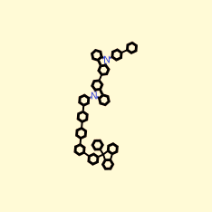 c1ccc(-c2ccc(-n3c4ccccc4c4cc(-c5ccc6c(c5)c5ccccc5n6-c5cccc(-c6ccc(-c7ccc(-c8cccc(-c9cccc(C%10(c%11ccccc%11)c%11ccccc%11-c%11ccccc%11%10)c9)c8)cc7)cc6)c5)ccc43)cc2)cc1